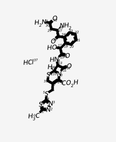 Cc1nnc(SCC2=C(C(=O)O)N3C(=O)C(NC(=O)C(O)c4ccccc4C(=O)[C@@H](N)CC(N)=O)[C@@H]3SC2)s1.Cl